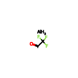 O=[C]C(F)(F)F.[AlH3]